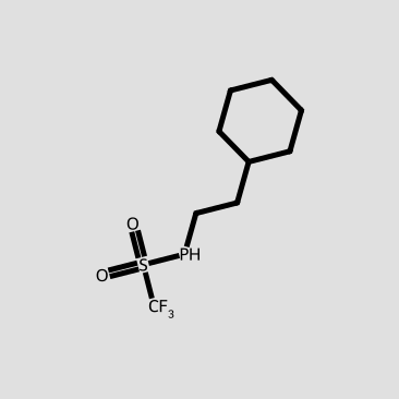 O=S(=O)(PCCC1CCCCC1)C(F)(F)F